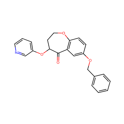 O=C1c2cc(OCc3ccccc3)ccc2OCCC1Oc1cccnc1